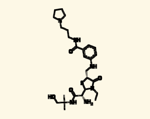 CCN1C(=O)[C@@H](CNc2cccc(C(=O)NCCCN3CCCC3)c2)SC1[C@H](N)C(=O)NC(C)(C)CO